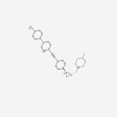 CC1CCN(C[C@@H]2C[C@H]2c2ccc(C#Cc3ccc(-c4ccc(Cl)cc4)cn3)cc2)CC1